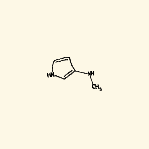 CNc1cc[nH]c1